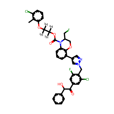 [2H]C([2H])(OC(=O)N1c2cccc(-c3cnn(Cc4c(F)cc(C(=O)C(O)c5ccccc5)cc4Cl)c3)c2OCC1CF)C([2H])([2H])Oc1cccc(Cl)c1C